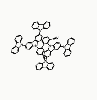 N#Cc1ccc(-n2c3ccc(-n4c5ccccc5c5ccccc54)cc3c3cc(-n4c5ccccc5c5ccccc54)ccc32)c(-c2cccc(C#N)c2-n2c3ccc(-n4c5ccccc5c5ccccc54)cc3c3cc(-n4c5ccccc5c5ccccc54)ccc32)c1